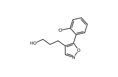 OCCCc1cnoc1-c1ccccc1Cl